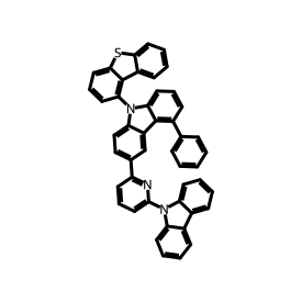 c1ccc(-c2cccc3c2c2cc(-c4cccc(-n5c6ccccc6c6ccccc65)n4)ccc2n3-c2cccc3sc4ccccc4c23)cc1